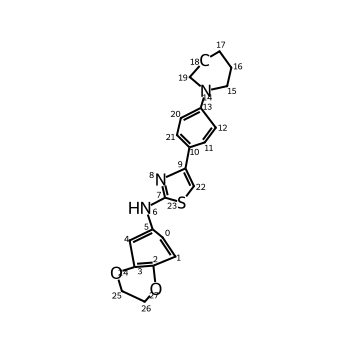 c1cc2c(cc1Nc1nc(-c3ccc(N4CCCCC4)cc3)cs1)OCCO2